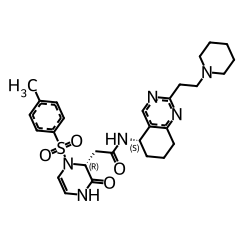 Cc1ccc(S(=O)(=O)N2C=CNC(=O)[C@H]2CC(=O)N[C@H]2CCCc3nc(CCN4CCCCC4)ncc32)cc1